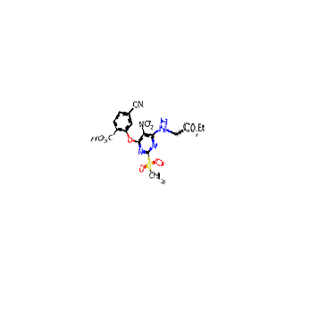 CCOC(=O)CNc1nc(S(C)(=O)=O)nc(Oc2cc(C#N)ccc2C(=O)O)c1[N+](=O)[O-]